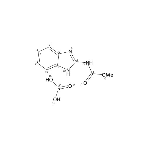 COC(=O)Nc1nc2ccccc2[nH]1.O=S(O)O